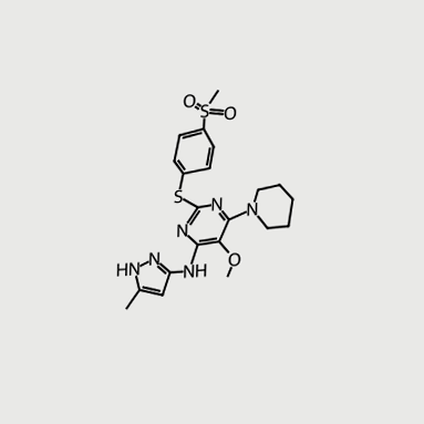 COc1c(Nc2cc(C)[nH]n2)nc(Sc2ccc(S(C)(=O)=O)cc2)nc1N1CCCCC1